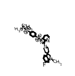 CN1CC2(CCN(c3nn(S(=O)(=O)c4ccc(S(=O)(=O)N(C)C)cc4)c4cccnc34)CC2)c2ccc(F)cc21